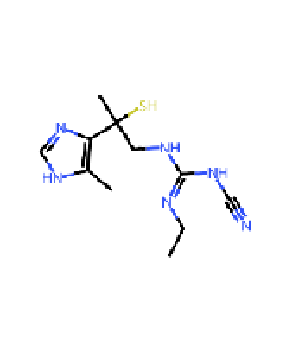 CCN=C(NC#N)NCC(C)(S)c1nc[nH]c1C